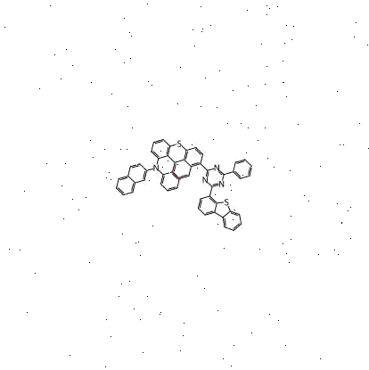 c1ccc(-c2nc(-c3ccc4c5c(cccc35)-c3c(cccc3N(c3ccccc3)c3ccc5ccccc5c3)S4)nc(-c3cccc4c3sc3ccccc34)n2)cc1